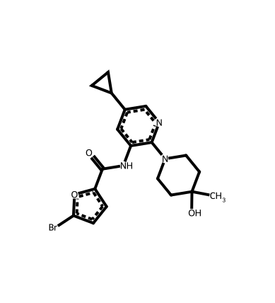 CC1(O)CCN(c2ncc(C3CC3)cc2NC(=O)c2ccc(Br)o2)CC1